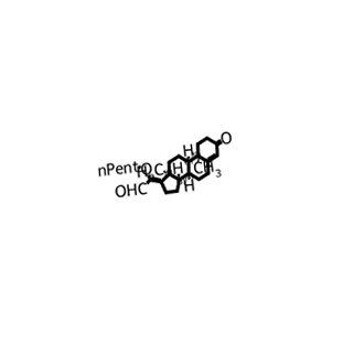 CCCCCOC(C=O)=C1CC[C@H]2[C@@H]3CCC4=CC(=O)CC[C@]4(C)[C@H]3CC[C@]12C